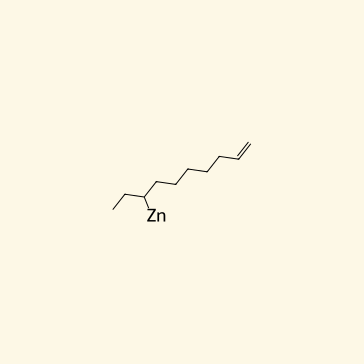 C=CCCCCC[CH]([Zn])CC